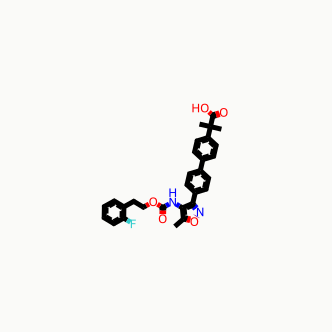 Cc1onc(-c2ccc(-c3ccc(C(C)(C)C(=O)O)cc3)cc2)c1NC(=O)OCCc1ccccc1F